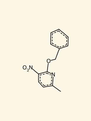 Cc1ccc([N+](=O)[O-])c(OCc2ccccc2)n1